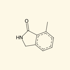 Cc1cccc2c1C(=O)NC2